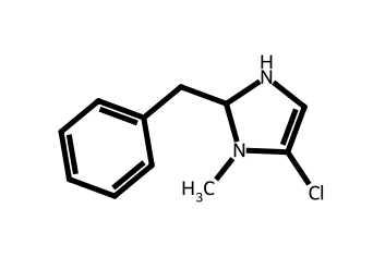 CN1C(Cl)=CNC1Cc1ccccc1